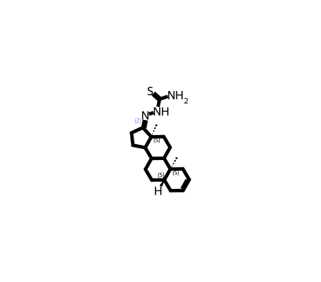 C[C@]12CCC3C(CC[C@H]4CC=CC[C@]34C)C1CC/C2=N/NC(N)=S